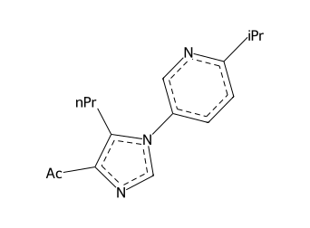 CCCc1c(C(C)=O)ncn1-c1ccc(C(C)C)nc1